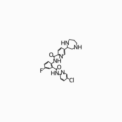 O=C(Nc1ccc(F)cc1C(=O)Nc1ccc(Cl)cn1)c1ccc(C2CNCCCN2)cn1